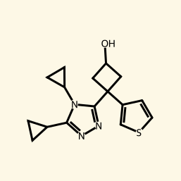 OC1CC(c2ccsc2)(c2nnc(C3CC3)n2C2CC2)C1